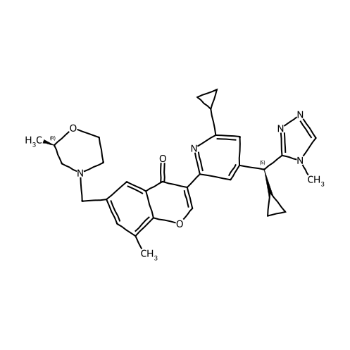 Cc1cc(CN2CCO[C@H](C)C2)cc2c(=O)c(-c3cc([C@@H](c4nncn4C)C4CC4)cc(C4CC4)n3)coc12